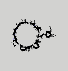 CO[C@H]1C[C@@H]2CC[C@@H](C)[C@@](O)(O2)C(=O)C(=O)N2CCCC[C@H]2C(=O)O[C@H]([C@H](C)C[C@@H]2CC[C@@H](O)[C@H](OC)C2)CC[C@@](C)(C=O)/C=C(\C)[C@@H](O)CC(=O)[C@H](C)C[C@H](C)/C=C/C=C/C=C/1C